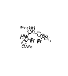 COc1ccc2[nH]c(-c3cc(OCc4ccc5[nH]c(C)c(C(C)C)c5c4)c4[nH]cc(C(C)C)c4c3)c(C(C)C)c2c1